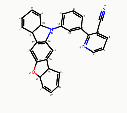 N#Cc1cccnc1-c1cccc(N2c3cc4c(cc3C3C=CC=CC32)OC2C=CC=CC42)c1